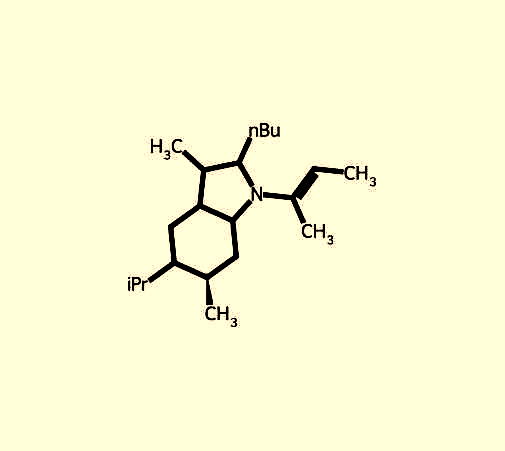 C/C=C(\C)N1C(CCCC)C(C)C2CC(C(C)C)[C@H](C)CC21